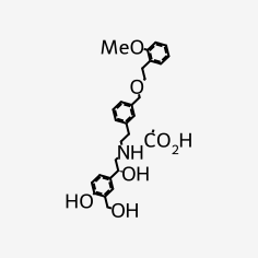 CC(=O)O.COc1ccccc1CCOCc1cccc(CCNC[C@H](O)c2ccc(O)c(CO)c2)c1